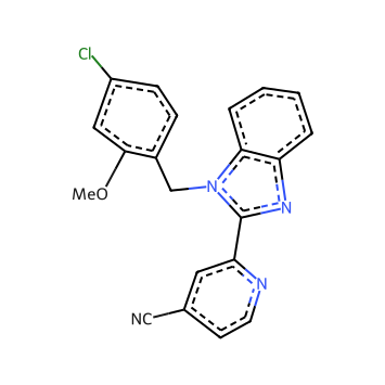 COc1cc(Cl)ccc1Cn1c(-c2cc(C#N)ccn2)nc2ccccc21